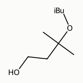 CCC(C)OC(C)(C)CCO